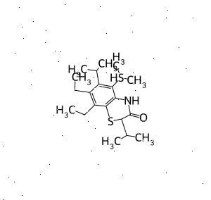 CCc1c(CC)c(C(C)C)c([SH](C)C)c2c1SC(C(C)C)C(=O)N2